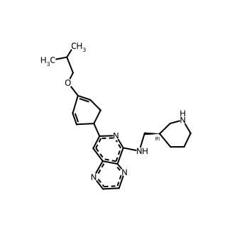 CC(C)COC1=CCC(c2cc3nccnc3c(NC[C@@H]3CCCNC3)n2)C=C1